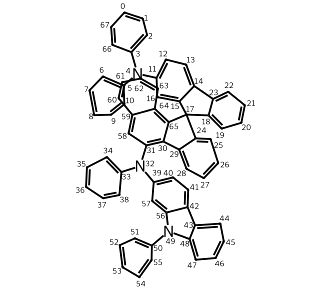 c1ccc(N(c2ccccc2)c2ccc3c(c2)C2(c4ccccc4-3)c3ccccc3-c3c(N(c4ccccc4)c4ccc5c6ccccc6n(-c6ccccc6)c5c4)cc4ccccc4c32)cc1